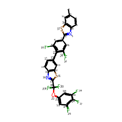 Cc1ccc2nc(-c3cc(F)c(-c4ccc5nc(C(F)(F)Oc6cc(F)c(F)c(F)c6)sc5c4)c(F)c3)sc2c1